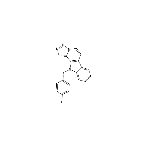 Fc1ccc(Cn2c3ccccc3c3ccn4nncc4c32)cc1